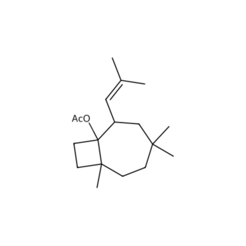 CC(=O)OC12CCC1(C)CCC(C)(C)CC2C=C(C)C